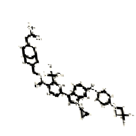 O=C(O)CC1CC2CC(CNC(=O)c3ccc(-c4cn(C5CC5)c5cc(O[C@H]6CC[C@H](N7CC(F)(F)C7)CC6)ccc45)nc3C(F)(F)F)CC(C1)C2